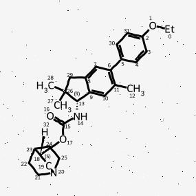 CCOc1ccc(-c2cc3c(cc2C)[C@H](NC(=O)O[C@@H]2CN4CCC2CC4)C(C)(C)C3)cc1